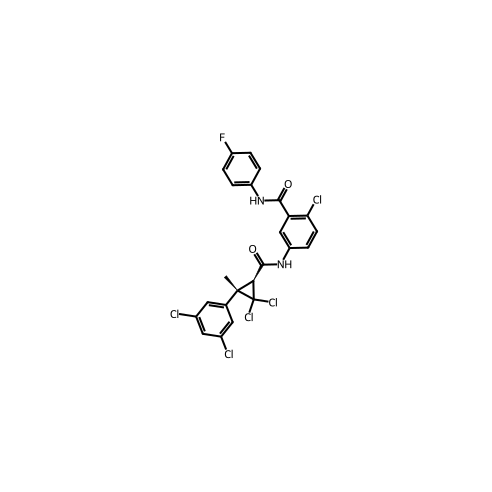 C[C@@]1(c2cc(Cl)cc(Cl)c2)[C@@H](C(=O)Nc2ccc(Cl)c(C(=O)Nc3ccc(F)cc3)c2)C1(Cl)Cl